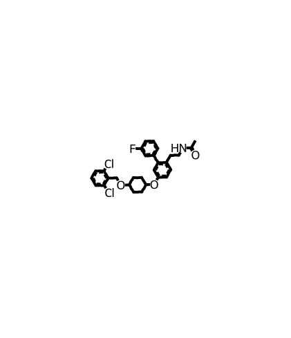 CC(=O)NCCc1ccc(OC2CCC(OCc3c(Cl)cccc3Cl)CC2)cc1-c1cccc(F)c1